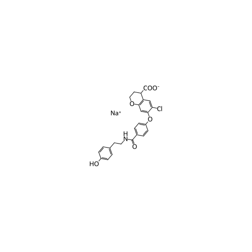 O=C(NCCc1ccc(O)cc1)c1ccc(Oc2cc3c(cc2Cl)C(C(=O)[O-])CCO3)cc1.[Na+]